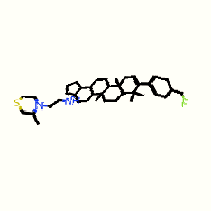 CC1CSCCN1CCNC12CCCC1C1CCC3C(C)(CCC4C(C)(C)C(C5=CCC(CF)CC5)=CCC43C)C1CC2